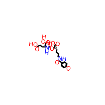 COc1ccc(C(=O)NCCCC[C@H](OC(=O)N[C@@H](CCC(=O)O)C(=O)O)C(=O)O)cc1